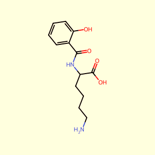 NCCCCC(NC(=O)c1ccccc1O)C(=O)O